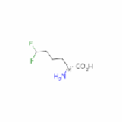 N[C@H](CCCC(F)F)C(=O)O